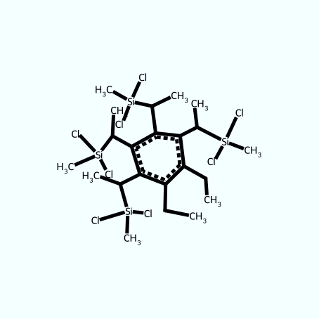 CCc1c(CC)c(C(C)[Si](C)(Cl)Cl)c(C(C)[Si](C)(Cl)Cl)c(C(C)[Si](C)(Cl)Cl)c1C(C)[Si](C)(Cl)Cl